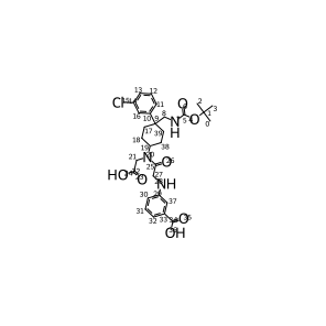 CC(C)(C)OC(=O)NCC1(c2cccc(Cl)c2)CCC(N(CC(=O)O)C(=O)CNc2cccc(C(=O)O)c2)CC1